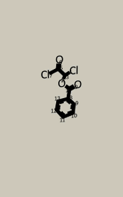 O=C(OC(Cl)C(=O)Cl)c1ccccc1